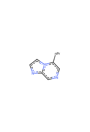 CCCc1cncc2nccn12